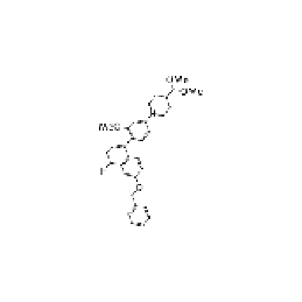 COc1cc(N2CCC(C(OC)OC)CC2)ccc1C1=CCC(F)c2cc(OCc3ccccc3)ccc21